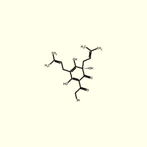 CC(C)=CCC1=C(O)[C@@](O)(CC=C(C)C)C(=O)C(C(=O)CC(C)C)=C1O